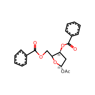 CC(=O)O[C@H]1C[C@H](OC(=O)c2ccccc2)C(COC(=O)c2ccccc2)O1